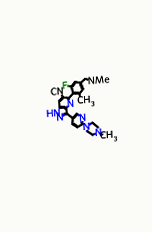 CNCc1cc(C)c(-c2nc3c(-c4ccc(N5CCN(C)CC5)nc4)n[nH]c3cc2C#N)c(F)c1